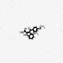 COc1ccc(C(=O)c2c(C(=O)O)[nH]c3cccc(N)c23)cc1